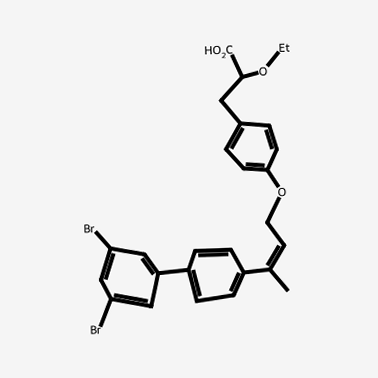 CCOC(Cc1ccc(OCC=C(C)c2ccc(-c3cc(Br)cc(Br)c3)cc2)cc1)C(=O)O